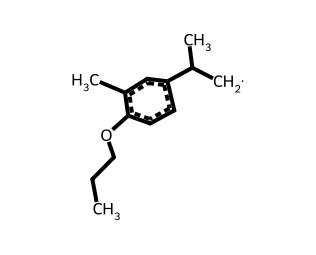 [CH2]C(C)c1ccc(OCCC)c(C)c1